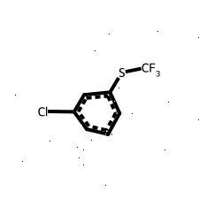 FC(F)(F)Sc1c[c]cc(Cl)c1